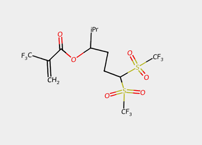 C=C(C(=O)OC(CCC(S(=O)(=O)C(F)(F)F)S(=O)(=O)C(F)(F)F)C(C)C)C(F)(F)F